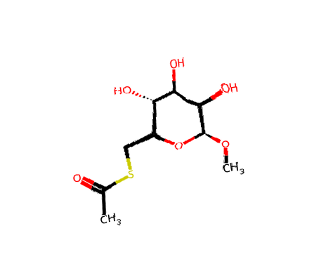 CO[C@H]1OC(CSC(C)=O)[C@H](O)C(O)C1O